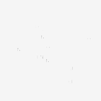 O=C(Nc1ccc(N2CCCCC2)cc1C(=O)NN=Cc1ccc(Cl)c(C(F)(F)F)c1)c1cccc(C#CCCO)c1